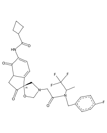 CC(N(Cc1ccc(F)cc1)C(=O)CN1CO[C@]2(C1)C(=O)CC1C(=O)C(NC(=O)C3CCC3)=CC=C12)C(F)(F)F